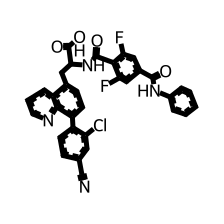 N#Cc1ccc(-c2ccc(CC(NC(=O)c3c(F)cc(C(=O)Nc4ccccc4)cc3F)C(=O)O)c3cccnc23)c(Cl)c1